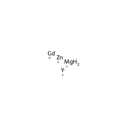 [Gd].[MgH2].[Y].[Zn]